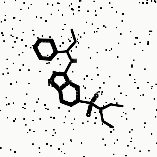 CCC(Nc1nnc2ccc(S(=O)(=O)N(CC)CC)cn12)c1ccccc1